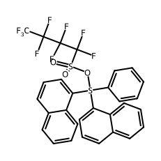 O=S(=O)(OS(c1ccccc1)(c1cccc2ccccc12)c1cccc2ccccc12)C(F)(F)C(F)(F)C(F)(F)C(F)(F)F